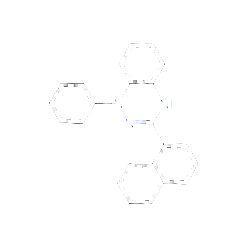 c1ccc(N2N=C(c3cccc4ccccc34)Nc3ccccc32)cc1